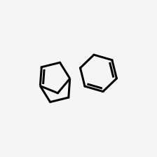 C1=C2CCC(C1)C2.C1=CCCC=C1